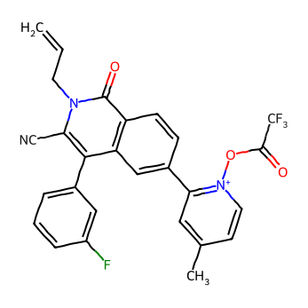 C=CCn1c(C#N)c(-c2cccc(F)c2)c2cc(-c3cc(C)cc[n+]3OC(=O)C(F)(F)F)ccc2c1=O